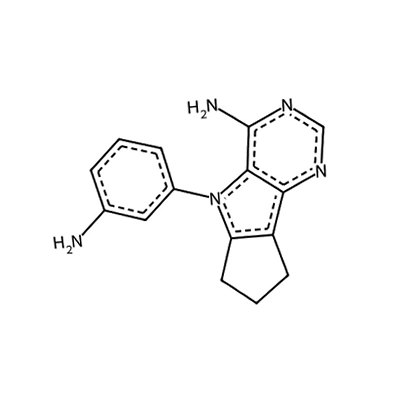 Nc1cccc(-n2c3c(c4ncnc(N)c42)CCC3)c1